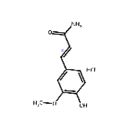 COc1cc(/C=C/C(N)=O)ccc1O.Cl